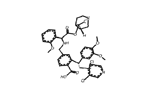 COc1ccc([C@H](Cc2c(Cl)cncc2Cl)c2cc(CNC(C(=O)O[C@H]3CN4CCC3CC4)c3ccccc3OC)ccc2C(=O)O)cc1OC